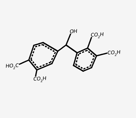 O=C(O)c1ccc(C(O)c2cccc(C(=O)O)c2C(=O)O)cc1C(=O)O